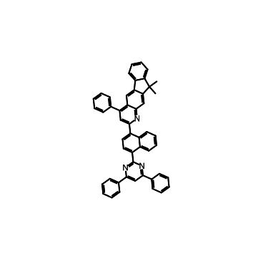 CC1(C)c2ccccc2-c2cc3c(-c4ccccc4)cc(-c4ccc(-c5nc(-c6ccccc6)cc(-c6ccccc6)n5)c5ccccc45)nc3cc21